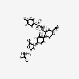 CC(=O)NC[C@H]1CN(c2ccc(N3CCC(C#N)CC3NNS(=O)(=O)c3ccc(C)cc3)c(F)c2)C(=O)O1